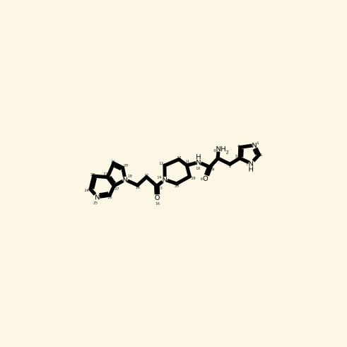 NC(Cc1cnc[nH]1)C(=O)NC1CCN(C(=O)CCn2ccc3ccncc32)CC1